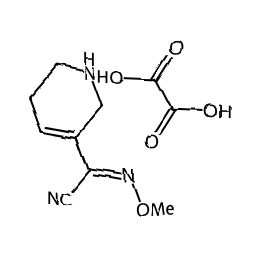 CON=C(C#N)C1=CCCNC1.O=C(O)C(=O)O